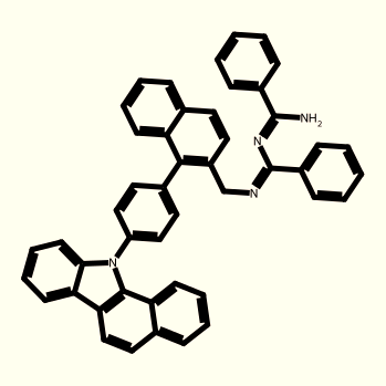 N/C(=N\C(=N/Cc1ccc2ccccc2c1-c1ccc(-n2c3ccccc3c3ccc4ccccc4c32)cc1)c1ccccc1)c1ccccc1